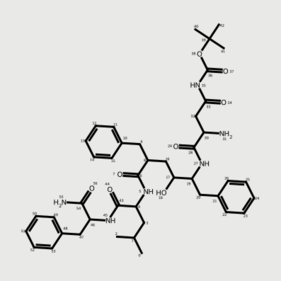 CC(C)CC(NC(=O)C(Cc1ccccc1)CC(O)C(Cc1ccccc1)NC(=O)C(N)CC(=O)NC(=O)OC(C)(C)C)C(=O)NC(Cc1ccccc1)C(N)=O